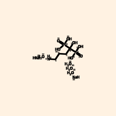 NCCCC(O)(P(=O)(O)O)P(=O)(O)O.O.O.O.O.[NaH].[NaH]